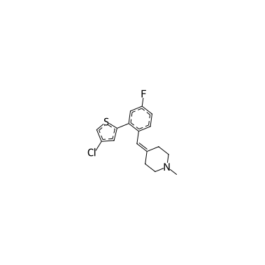 CN1CCC(=Cc2ccc(F)cc2-c2cc(Cl)cs2)CC1